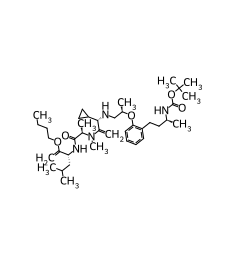 C=C(OCCCC)[C@@H](CC(C)C)NC(=O)[C@@H](C)N(C)C(=C)[C@@H](NC[C@@H](C)Oc1ccccc1CC[C@H](C)NC(=O)OC(C)(C)C)C1CC1